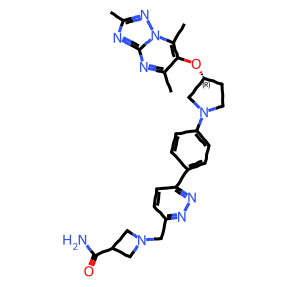 Cc1nc2nc(C)c(O[C@@H]3CCN(c4ccc(-c5ccc(CN6CC(C(N)=O)C6)nn5)cc4)C3)c(C)n2n1